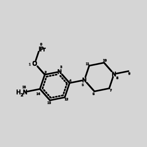 CC(C)Oc1nc(N2CCN(C)CC2)ccc1N